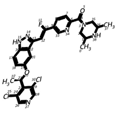 CC1CN(C(=O)c2ccc(/C(F)=C/c3n[nH]c4ccc(O[C@H](C)c5c(Cl)cncc5Cl)cc34)cn2)CC(C)N1